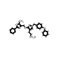 Cc1oc(-c2ccccc2)nc1COc1nn(Cc2ccc(Oc3ccccc3)cc2)cc1CCC(=O)O